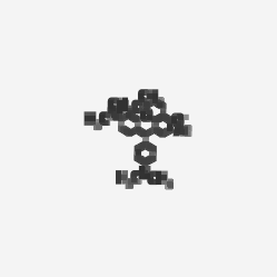 CC(=O)[O-].CN(C)c1ccc(C(=C2C=CC(=[N+](C)C)C=C2)c2cccc3c2OC(C)(C)C=C3)cc1